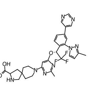 Cc1ccn(-c2cc(-c3cncnc3)ccc2[C@@H](Oc2cc(N3CCC4(CC3)CNC(C(=O)O)C4)nc(C)n2)C(F)(F)F)n1